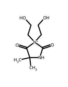 CC1(C)NC(=O)[N+](CCO)(CCO)C1=O